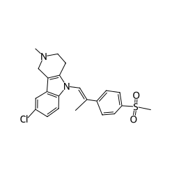 C/C(=C\n1c2c(c3cc(Cl)ccc31)CN(C)CC2)c1ccc(S(C)(=O)=O)cc1